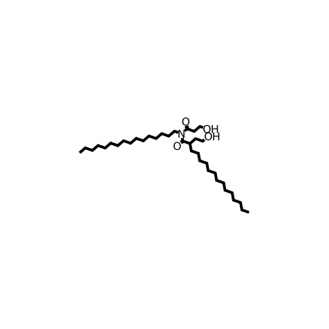 CCCCCCCCCCCCCCCCN(C(=O)CCO)C(=O)C(CCO)CCCCCCCCCCCCCC